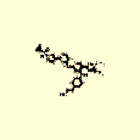 Cn1nc(-c2cnc(Nc3ccnc(-c4cnn(S(=O)(=O)C5CC5)c4)n3)cc2NC2CCC(CCO)CC2)cc1C(F)(F)F